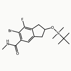 CNC(=O)c1cc2c(c(F)c1Br)CC(O[Si](C)(C)C(C)(C)C)C2